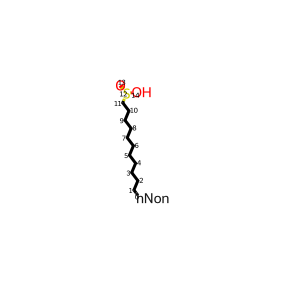 CCCCCCCCCCCCCCCCCCCCS(=O)O